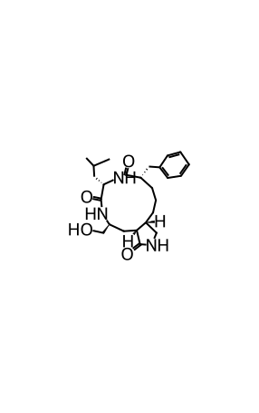 CC(C)C[C@@H]1NC(=O)[C@H](Cc2ccccc2)CCC[C@@H]2CNC(=O)[C@@H]2C[C@@H](CO)NC1=O